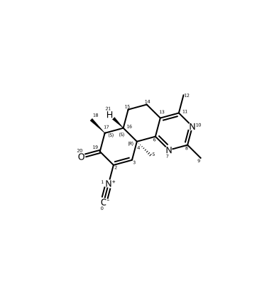 [C-]#[N+]C1=C[C@]2(C)c3nc(C)nc(C)c3CC[C@H]2[C@H](C)C1=O